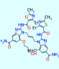 CCc1nc(C)oc1C(=O)Nc1nc2cc(C(N)=O)cc(OCCCO)c2n1C/C=C/Cn1c(NC(=O)c2sc(C)nc2CC)nc2cc(C(N)=O)cc(OC)c21